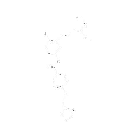 C/N=C(/N)OCCc1cc(NC(=O)c2cnc(OCc3ncco3)cn2)ccc1F